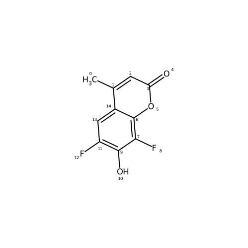 Cc1cc(=O)oc2c(F)c(O)c(F)cc12